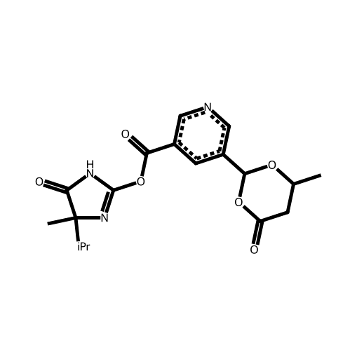 CC1CC(=O)OC(c2cncc(C(=O)OC3=NC(C)(C(C)C)C(=O)N3)c2)O1